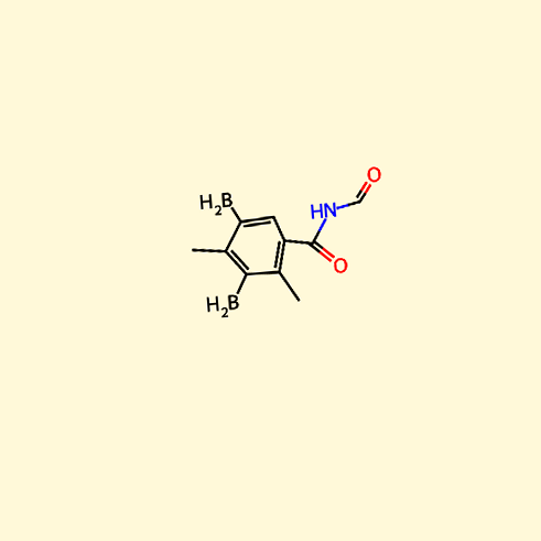 Bc1cc(C(=O)NC=O)c(C)c(B)c1C